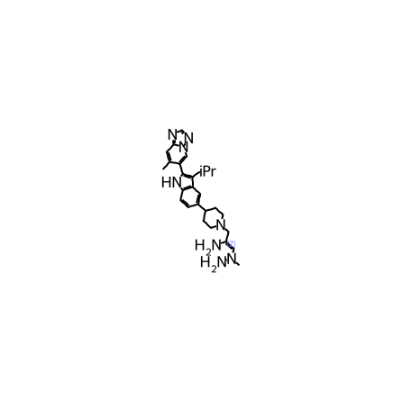 Cc1cc2ncnn2cc1-c1[nH]c2ccc(C3CCN(C/C(N)=C/N(C)N)CC3)cc2c1C(C)C